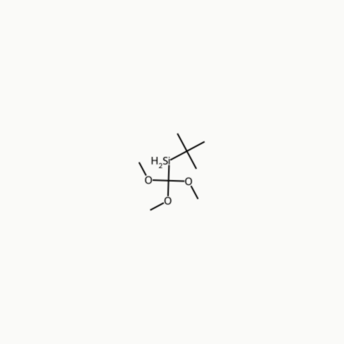 COC(OC)(OC)[SiH2]C(C)(C)C